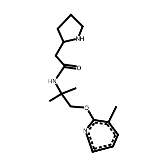 Cc1cccnc1OCC(C)(C)NC(=O)CC1CCCN1